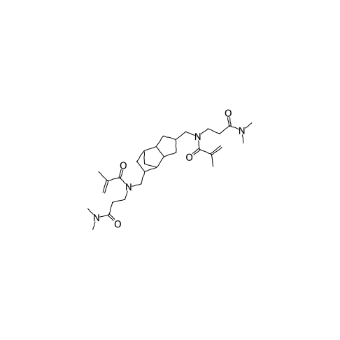 C=C(C)C(=O)N(CCC(=O)N(C)C)CC1CC2C3CC(CN(CCC(=O)N(C)C)C(=O)C(=C)C)C(C3)C2C1